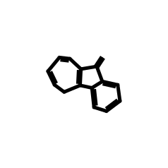 C=C1C2=C(CC=CC=C2)c2ccccc21